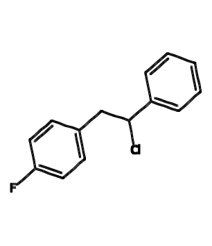 Fc1ccc(CC(Cl)c2ccccc2)cc1